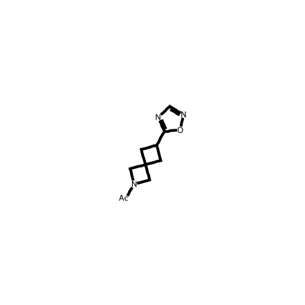 CC(=O)N1CC2(CC(c3n[c]no3)C2)C1